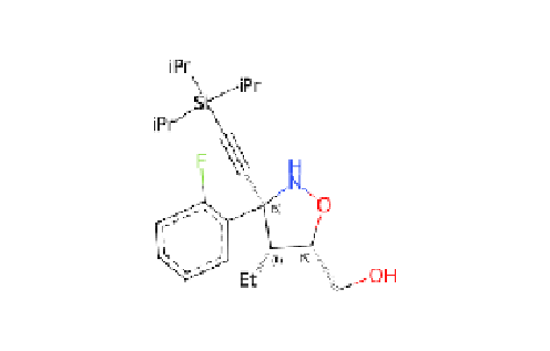 CC[C@H]1[C@@H](CO)ON[C@]1(C#C[Si](C(C)C)(C(C)C)C(C)C)c1ccccc1F